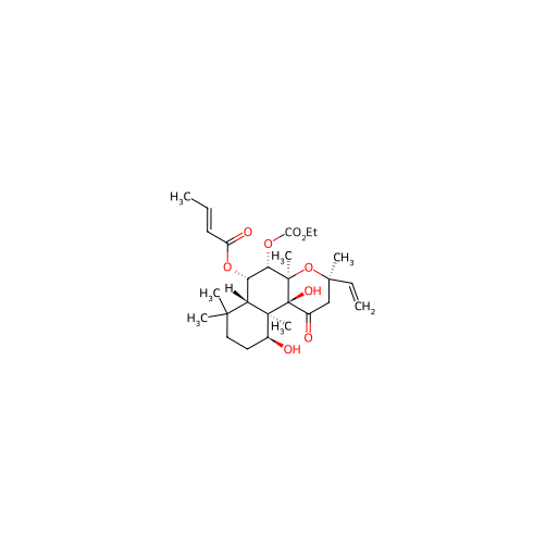 C=C[C@@]1(C)CC(=O)[C@]2(O)[C@@]3(C)[C@@H](O)CCC(C)(C)[C@@H]3[C@H](OC(=O)/C=C/C)[C@H](OC(=O)OCC)[C@@]2(C)O1